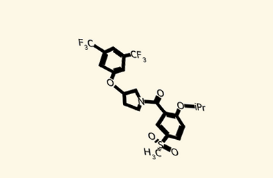 CC(C)Oc1ccc(S(C)(=O)=O)cc1C(=O)N1CCC(Oc2cc(C(F)(F)F)cc(C(F)(F)F)c2)C1